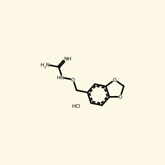 Cl.N=C(N)NOCc1ccc2c(c1)OCO2